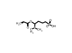 C=CC(=O)OC(CCCS(=O)(=O)O)N(C)C